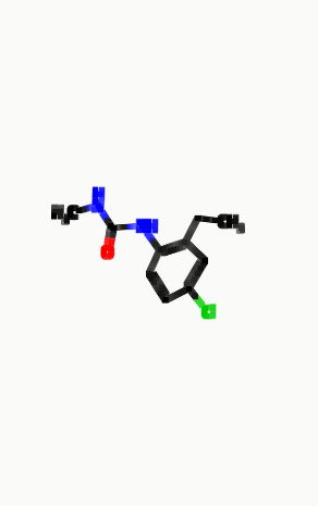 CCc1cc(Cl)ccc1NC(=O)NC